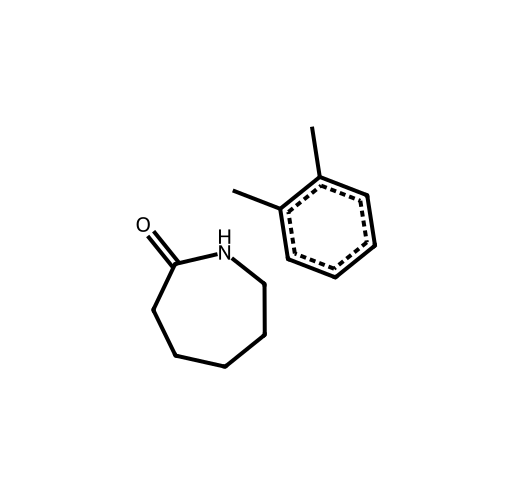 Cc1ccccc1C.O=C1CCCCCN1